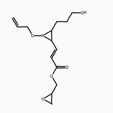 C=CCON1C(C=CC(=O)OCC2CO2)C1CCCO